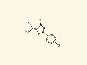 CCC(N)=C1SC(c2ccc(Cl)cc2)=NN1C